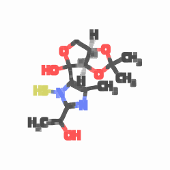 C=C(O)c1nc(C)c(C2(O)OC[C@H]3OC(C)(C)O[C@H]32)n1S